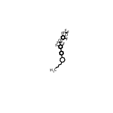 CCCCCC1CCCC(c2ccc(-c3cc(F)c(C(F)(F)Oc4cc(F)c(OC(F)(F)F)c(F)c4)c(F)c3)cc2)CC1